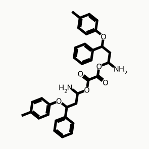 Cc1ccc(OC(CC(N)OC(=O)C(=O)OC(N)CC(Oc2ccc(C)cc2)c2ccccc2)c2ccccc2)cc1